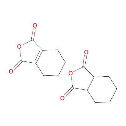 O=C1OC(=O)C2=C1CCCC2.O=C1OC(=O)C2CCCCC12